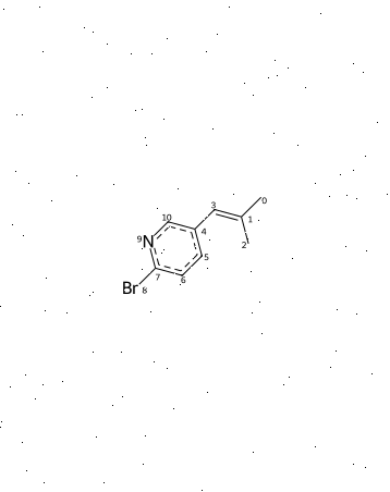 CC(C)=Cc1ccc(Br)nc1